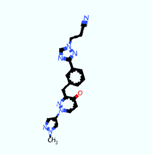 Cn1cc(-n2ccc(=O)c(Cc3cccc(-c4ncn(CCC#N)n4)c3)n2)cn1